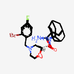 NC(=O)C12CC3CC(C1)C(NC(=O)[C@H]1CN(Cc4ccc(F)cc4Br)CCO1)C(C3)C2